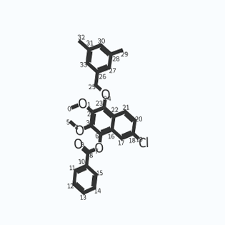 COc1c(OC)c(OC(=O)c2ccccc2)c2cc(Cl)ccc2c1OCc1cc(C)cc(C)c1